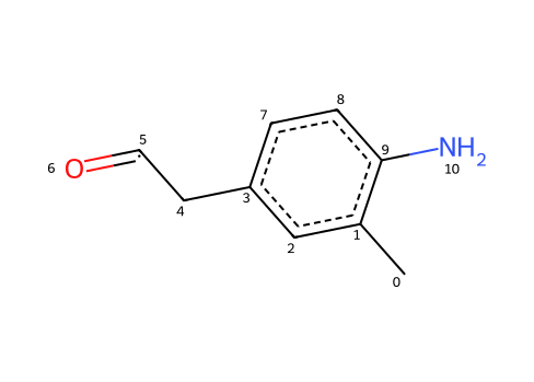 Cc1cc(C[C]=O)ccc1N